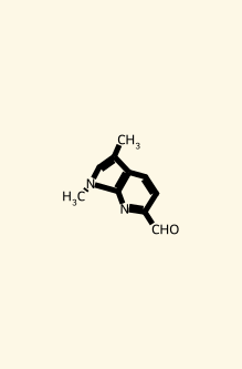 Cc1cn(C)c2nc(C=O)ccc12